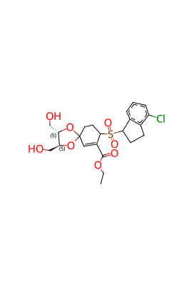 CCOC(=O)C1=CC2(CCC1S(=O)(=O)C1CCc3c(Cl)cccc31)O[C@@H](CO)[C@H](CO)O2